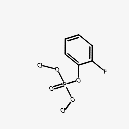 O=P(OCl)(OCl)Oc1ccccc1F